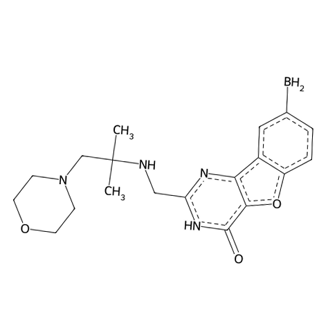 Bc1ccc2oc3c(=O)[nH]c(CNC(C)(C)CN4CCOCC4)nc3c2c1